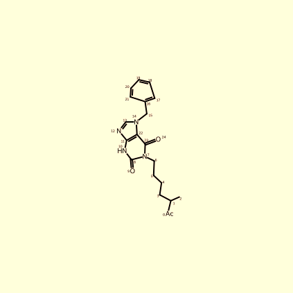 CC(=O)C(C)CCCCn1c(=O)[nH]c2ncn(Cc3ccccc3)c2c1=O